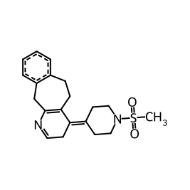 CS(=O)(=O)N1CCC(=C2CC=NC3=C2CCc2ccccc2C3)CC1